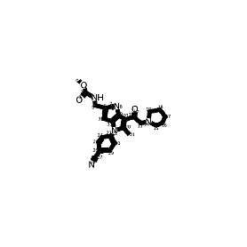 COC(=O)NCc1cnc2c(C(=O)CN3CCCCC3)c(C)n(-c3ccc(C#N)cc3)c2c1